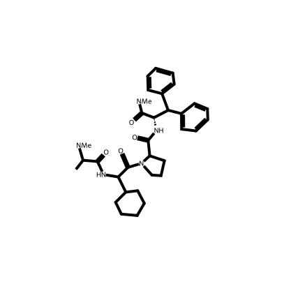 CNC(=O)[C@@H](NC(=O)C1CCCN1C(=O)C(NC(=O)C(C)NC)C1CCCCC1)C(c1ccccc1)c1ccccc1